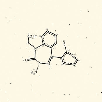 CCOC(=O)CN1C(=O)[C@@H](N)N=C(c2ccccc2F)c2ccccc21